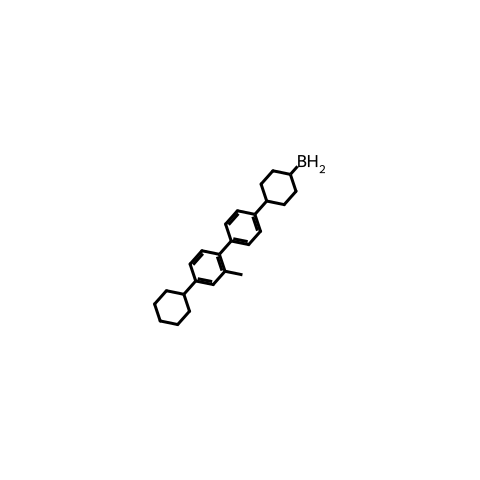 BC1CCC(c2ccc(-c3ccc(C4CCCCC4)cc3C)cc2)CC1